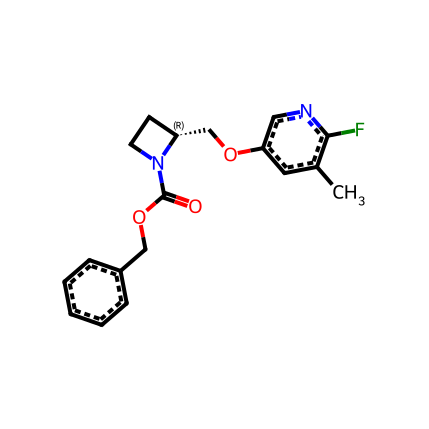 Cc1cc(OC[C@H]2CCN2C(=O)OCc2ccccc2)cnc1F